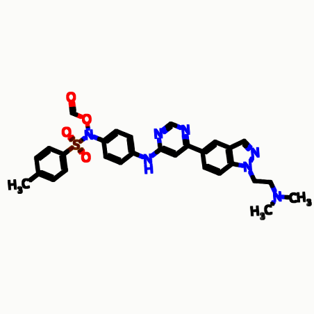 Cc1ccc(S(=O)(=O)N(OC=O)c2ccc(Nc3cc(-c4ccc5c(cnn5CCN(C)C)c4)ncn3)cc2)cc1